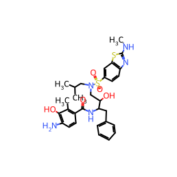 CNc1nc2ccc(S(=O)(=O)N(CC(C)C)CC(O)C(Cc3ccccc3)NC(=O)c3ccc(N)c(O)c3C)cc2s1